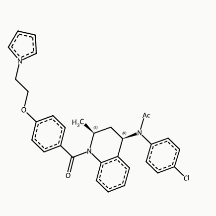 CC(=O)N(c1ccc(Cl)cc1)[C@@H]1C[C@H](C)N(C(=O)c2ccc(OCCn3cccc3)cc2)c2ccccc21